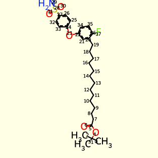 CC(C)(C)OC(=O)CCCCCCCCCCCCCc1cc(Oc2ccc(S(N)(=O)=O)cc2)ccc1F